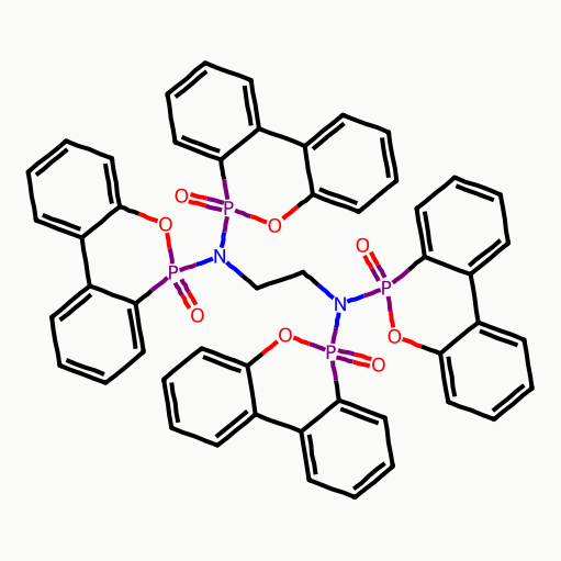 O=P1(N(CCN(P2(=O)Oc3ccccc3-c3ccccc32)P2(=O)Oc3ccccc3-c3ccccc32)P2(=O)Oc3ccccc3-c3ccccc32)Oc2ccccc2-c2ccccc21